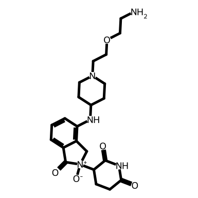 NCCOCCN1CCC(Nc2cccc3c2C[N+]([O-])(C2CCC(=O)NC2=O)C3=O)CC1